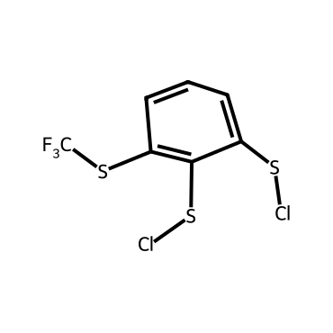 FC(F)(F)Sc1cccc(SCl)c1SCl